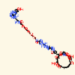 CO[C@H]1C[C@@H]2CC[C@@H](C)[C@@](O)(O2)C(=O)C(=O)N2CCCC[C@H]2C(=O)O[C@H]([C@H](C)C[C@@H]2CC[C@H](n3cc(-c4cnc(NCCNc5ncc(C(=O)NCCOCCOCCOCCOCCOCCC(=O)NCCCCn6nc(-c7cc8cc(O)ccc8[nH]7)c7c(N)ncnc76)cn5)nc4)nn3)[C@H](OC)C2)CC(=O)[C@H](C)/C=C(\C)[C@@H](O)[C@@H](OC)C(=O)[C@H](C)C[C@H](C)/C=C/C=C/C=C/1C